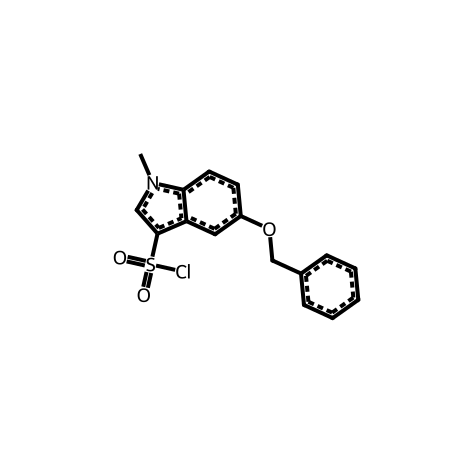 Cn1cc(S(=O)(=O)Cl)c2cc(OCc3ccccc3)ccc21